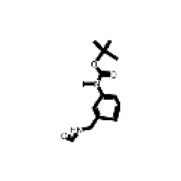 CC(C)(C)OC(=O)N(I)c1cccc(CNC=O)c1